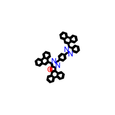 c1ccc2c(c1)cc(-c1nc(-c3ccc(-c4nc(-c5cc6ccccc6c6ccccc56)c5oc6c7ccccc7c7ccccc7c6c5n4)cc3)nc3ccccc13)c1ccccc12